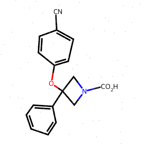 N#Cc1ccc(OC2(c3ccccc3)CN(C(=O)O)C2)cc1